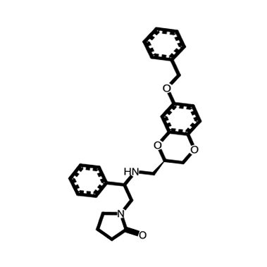 O=C1CCCN1CC(NC[C@@H]1COc2ccc(OCc3ccccc3)cc2O1)c1ccccc1